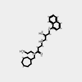 NCCN(CC1CCCCCC1)C(=O)CCNCC(O)COc1cccc2ccccc12